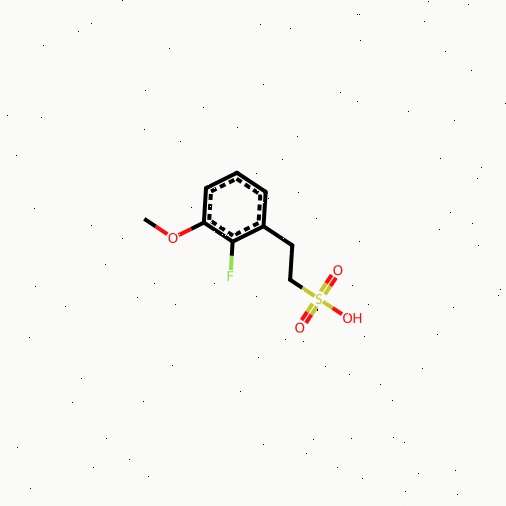 COc1cccc(CCS(=O)(=O)O)c1F